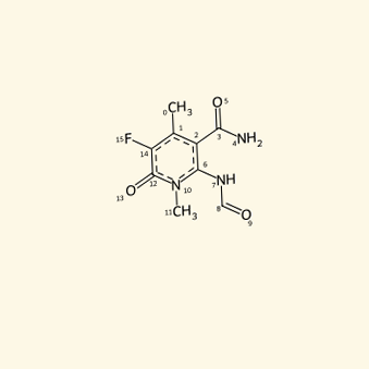 Cc1c(C(N)=O)c(NC=O)n(C)c(=O)c1F